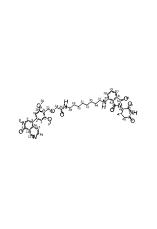 COc1cc(-c2cn(C)c(=O)c3cnccc23)cc(OC)c1COCC(=O)NCCCCCCCCNc1cccc2c1C(=O)N(C1CCC(=O)NC1=O)C2=O